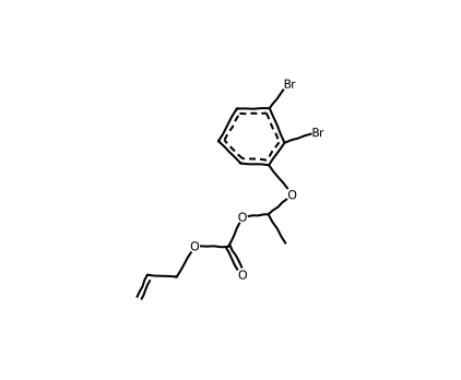 C=CCOC(=O)OC(C)Oc1cccc(Br)c1Br